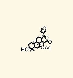 CC(=O)O[C@H]1CC2C(C)(C)[C@@H](O)CC[C@]2(C)C2CC[C@@]3(C)[C@H](c4ccoc4)OC(=O)C4OC43[C@@]21C